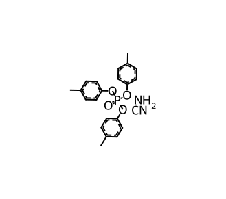 Cc1ccc(OP(=O)(Oc2ccc(C)cc2)Oc2ccc(C)cc2)cc1.N#CN